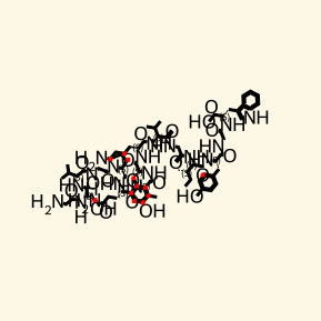 CC[C@H](C)[C@H](NC(=O)CNC(=O)[C@@H](NC(=O)[C@H](CCCCN)NC(=O)[C@H](Cc1ccc(O)cc1)NC(=O)[C@@H](NC(=O)[C@H](CCC(N)=O)NC(=O)[C@@H]1CCCN1C(=O)CNC(=O)[C@@H](NC(=O)[C@H](CO)NC(=O)CN)C(C)C)C(C)C)C(C)C)C(=O)N[C@@H](Cc1ccc(O)cc1)C(=O)NCC(=O)N[C@@H](Cc1c[nH]c2ccccc12)C(=O)O